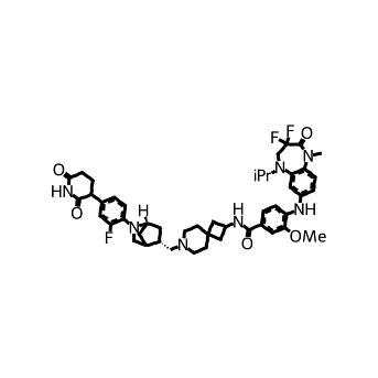 COc1cc(C(=O)NC2CC3(CCN(C[C@H]4C[C@@H]5CC4CN5c4ccc(C5CCC(=O)NC5=O)cc4F)CC3)C2)ccc1Nc1ccc2c(c1)N(C(C)C)CC(F)(F)C(=O)N2C